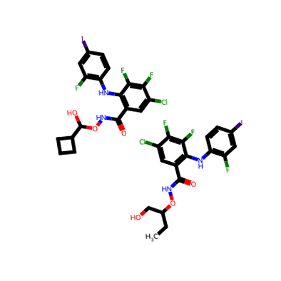 CCC(CO)ONC(=O)c1cc(Cl)c(F)c(F)c1Nc1ccc(I)cc1F.O=C(NOC(O)C1CCC1)c1cc(Cl)c(F)c(F)c1Nc1ccc(I)cc1F